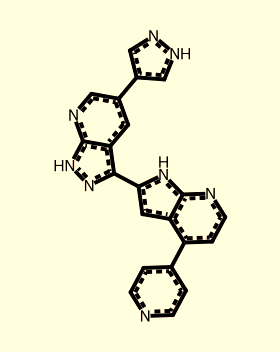 c1cc(-c2ccnc3[nH]c(-c4n[nH]c5ncc(-c6cn[nH]c6)cc45)cc23)ccn1